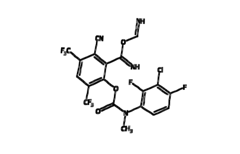 CN(C(=O)Oc1c(C(F)(F)F)cc(C(F)(F)F)c(C#N)c1C(=N)OC=N)c1ccc(F)c(Cl)c1F